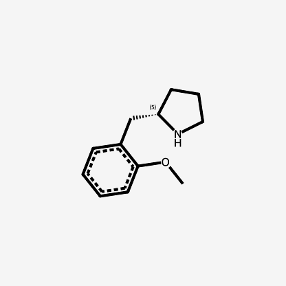 COc1ccccc1C[C@@H]1CCCN1